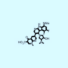 CNc1cc(F)c(F)c2c1[nH]c1ncc(-c3cnc4c(c3)c(=O)c(C(=O)O)cn4C)c(N3CC(O)C(N(C)C)C3)c12